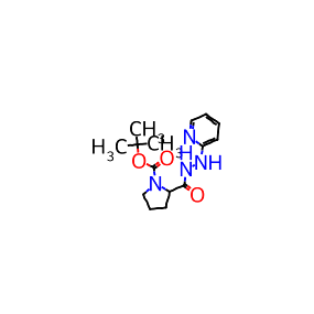 CC(C)(C)OC(=O)N1CCCC1C(=O)NNc1ccccn1